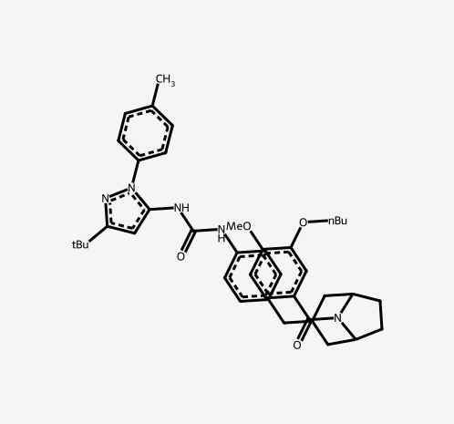 CCCCOc1cc(C(=O)N2C3CCC2CC(Cc2ccc(NC(=O)Nc4cc(C(C)(C)C)nn4-c4ccc(C)cc4)cc2)C3)ccc1OC